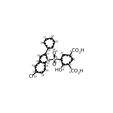 O=C(O)c1cc(C(=O)O)c(O)c(S(=O)(=O)n2c(-c3ccccc3)cc3cc(Cl)ccc32)c1